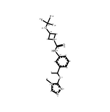 CC(Sc1nncn1C)c1cccc(NC(=O)N2CC(OC(F)(F)F)C2)c1